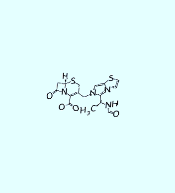 C[C@H](NC=O)c1n(CC2=C(C(=O)[O-])N3C(=O)C[C@@H]3SC2)cc2scc[n+]12